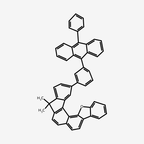 CC1(C)c2ccc(-c3cccc(-c4c5ccccc5c(-c5ccccc5)c5ccccc45)c3)cc2-c2c1ccc1ccc3c4ccccc4oc3c21